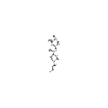 CCCOc1ccc(C(=O)Oc2cnc(F)c(F)c2)cc1